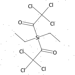 CC[Si](CC)(C(=O)C(Cl)(Cl)Cl)C(=O)C(Cl)(Cl)Cl